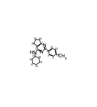 Cc1ccc(-c2nc3c(c(NC4CCCCC4)n2)CCC3)cc1